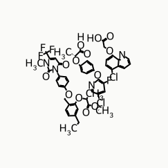 CCc1ccc(COc2ccc(-n3c(=O)cc(C(F)(F)F)n(C)c3=O)cc2)c(OC(C)C(=O)OC)c1.C[C@@H](Oc1ccc(Oc2ncc(Cl)cc2F)cc1)C(=O)O.O=C(O)COc1ccc(Cl)c2cccnc12